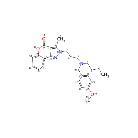 CCCCN(CCCn1nc2c(c1C)c(=O)oc1ccccc12)Cc1ccc(OC)cc1